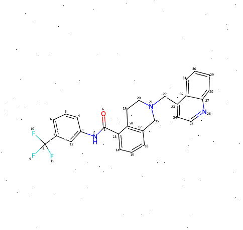 O=C(Nc1cccc(C(F)(F)F)c1)c1cccc2c1CCN(Cc1ccnc3ccccc13)C2